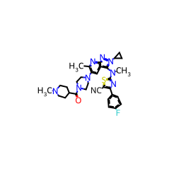 Cc1nc2nn(C3CC3)c(N(C)c3nc(-c4ccc(F)cc4)c(C#N)s3)c2cc1N1CCN(C(=O)C2CCN(C)CC2)CC1